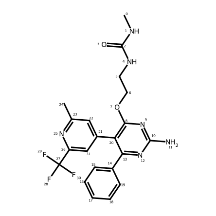 CNC(=O)NCCOc1nc(N)nc(-c2ccccc2)c1-c1cc(C)nc(C(F)(F)F)c1